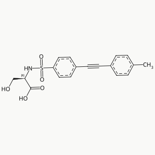 Cc1ccc(C#Cc2ccc(S(=O)(=O)N[C@H](CO)C(=O)O)cc2)cc1